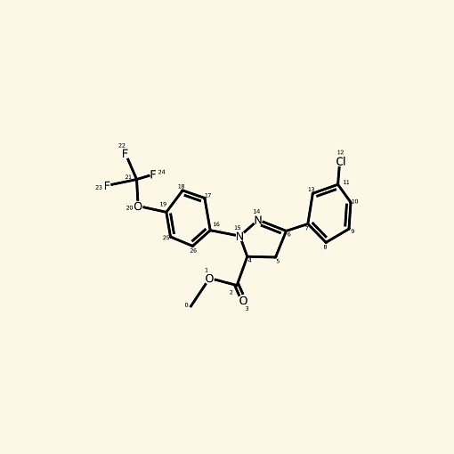 COC(=O)C1CC(c2cccc(Cl)c2)=NN1c1ccc(OC(F)(F)F)cc1